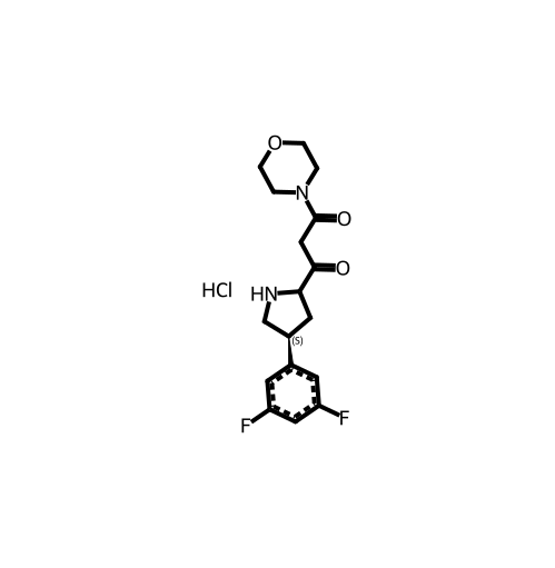 Cl.O=C(CC(=O)N1CCOCC1)C1C[C@@H](c2cc(F)cc(F)c2)CN1